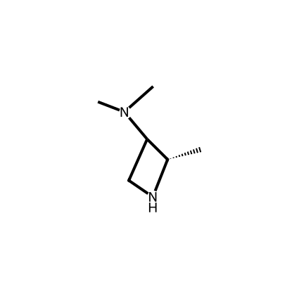 C[C@@H]1NCC1N(C)C